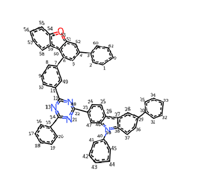 c1ccc(-c2cc(-c3cccc(-c4nc(-c5ccccc5)nc(-c5ccc6c7cc(-c8ccccc8)ccc7n(-c7ccccc7)c6c5)n4)c3)c3c(c2)oc2ccccc23)cc1